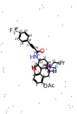 CC(=O)Oc1ccc2c3c1C[C@@H]1[C@@H]4CC[C@@H](NC(=O)C#Cc5ccc(C(F)(F)F)cc5)[C@H](O2)[C@]34CC[N+]1(C)CC(C)C